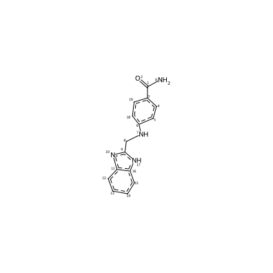 NC(=O)c1ccc(NCc2nc3ccccc3[nH]2)cc1